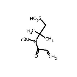 C=CC(=O)N(CCCC)C(C)(C)CS(=O)(=O)O